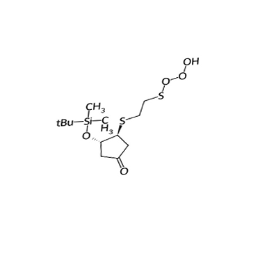 CC(C)(C)[Si](C)(C)O[C@H]1CC(=O)C[C@@H]1SCCSOOO